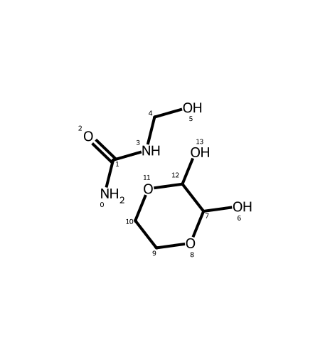 NC(=O)NCO.OC1OCCOC1O